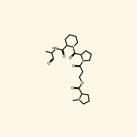 CC(C=O)NC(=O)C1CCCCN1C(=O)C1CCCN1C(=O)CCOC(=O)C1CCCN1C